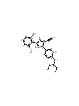 CCC(CC)Oc1ncc(-c2[nH]c(-c3c(F)cccc3Cl)nc2C#N)cn1